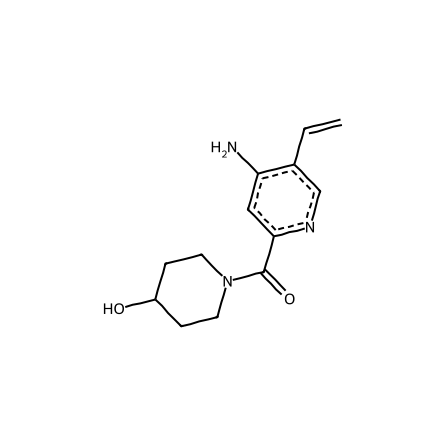 C=Cc1cnc(C(=O)N2CCC(O)CC2)cc1N